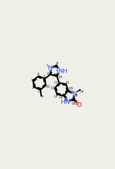 Cc1cccc(-c2nc[nH]c2-c2ccc3[nH]c(=O)n(C)c3c2)c1